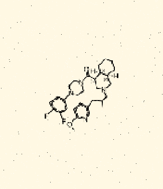 COc1ccc(CC(C)CN2C[C@@H]3CCCC[C@@H]3[C@H](C(=O)N3CCN(c4ccc(F)c(F)c4)CC3)C2)cn1